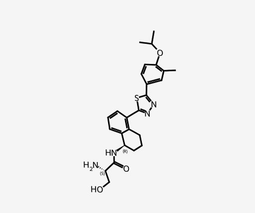 Cc1cc(-c2nnc(-c3cccc4c3CCC[C@H]4NC(=O)[C@@H](N)CO)s2)ccc1OC(C)C